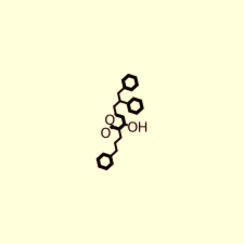 O=c1oc(CC(Cc2ccccc2)c2ccccc2)cc(O)c1CCCc1ccccc1